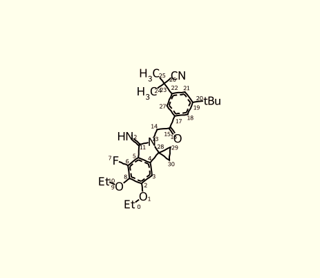 CCOc1cc2c(c(F)c1OCC)C(=N)N(CC(=O)c1cc(C(C)(C)C)cc(C(C)(C)C#N)c1)C21CC1